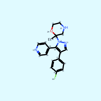 CCC1(n2ncc(-c3ccc(F)cc3)c2-c2ccncc2)CNCCO1